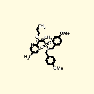 C=CCO[C@H](c1ncc(C)cn1)[C@@H](C)S(=O)(=O)N(Cc1ccc(OC)cc1)Cc1ccc(OC)cc1